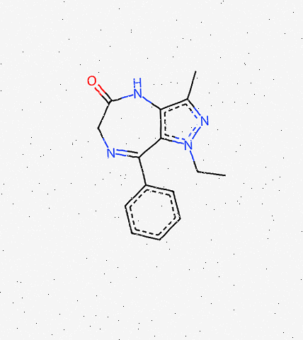 CCn1nc(C)c2c1C(c1ccccc1)=NCC(=O)N2